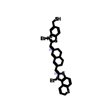 CCN1/C(=C/C2=CC3=C/C(=C/c4sc5ccc(CS)cc5[n+]4CC)CCC3CC2)Sc2ccc3c(c21)C=CCS3